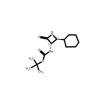 CC(C)(C)OC(=O)N[C@@H]1C(=O)N[C@H]1C1CCCCC1